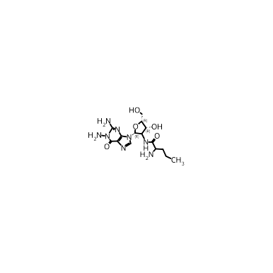 CCCC(N)C(=O)NC1[C@@H](O)[C@@H](CO)O[C@H]1n1cnc2c(=O)n(N)c(N)nc21